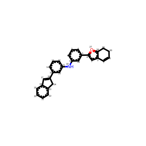 C1=Cc2cc(-c3cccc(Nc4cccc(C5=Cc6ccccc6C5)c4)c3)oc2CC1